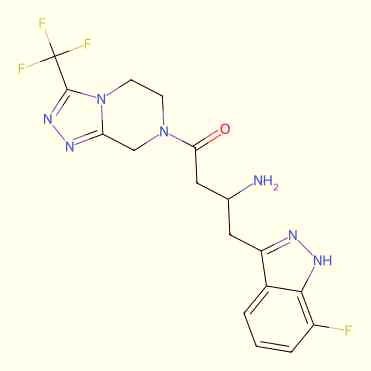 NC(CC(=O)N1CCn2c(nnc2C(F)(F)F)C1)Cc1n[nH]c2c(F)cccc12